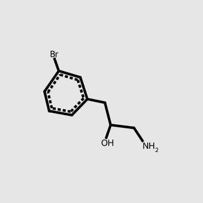 NCC(O)Cc1cccc(Br)c1